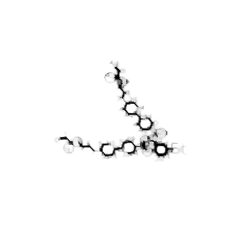 C=CC(=O)OCCC[C@H]1CC[C@H]([C@H]2CC[C@H](C(=O)Oc3ccc(CC)cc3OC(=O)[C@H]3CC[C@H]([C@H]4CC[C@H](CCCOC(=O)C=C)CC4)CC3)CC2)CC1